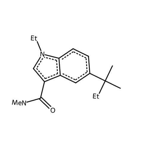 CCn1cc(C(=O)NC)c2cc(C(C)(C)CC)ccc21